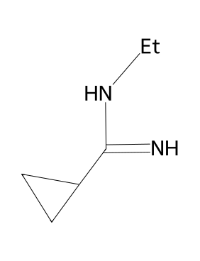 CCNC(=N)C1CC1